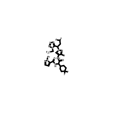 CC(C)n1nccc1C(=O)NC(C(=O)Nc1cn(C(CC(F)F)c2nnnn2CC(F)(F)F)nc1F)C1CCC(F)(F)CC1